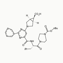 CCCCOC(=O)N1CCN(C(=O)[C@H](CC(C)C)NC(=O)c2cc(N3C[C@@H]4[C@H](C3)[C@@H]4C(=O)O)nc(-c3ccccc3)n2)CC1